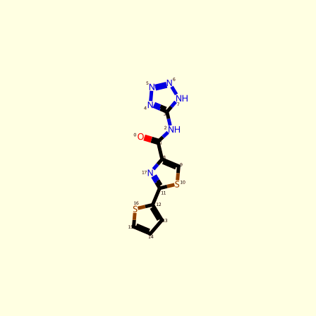 O=C(Nc1nnn[nH]1)c1csc(-c2cccs2)n1